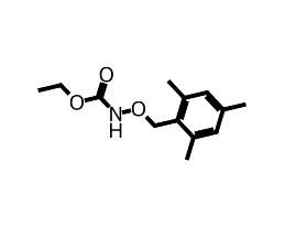 CCOC(=O)NOCc1c(C)cc(C)cc1C